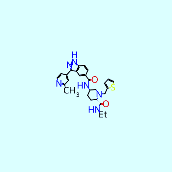 CCNC(=O)[C@@H]1CC[C@@H](NC(=O)c2ccc3[nH]nc(-c4ccnc(C)c4)c3c2)CN1Cc1cccs1